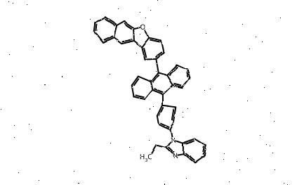 CCc1nc2ccccc2n1-c1ccc(-c2c3ccccc3c(-c3ccc4oc5cc6ccccc6cc5c4c3)c3ccccc23)cc1